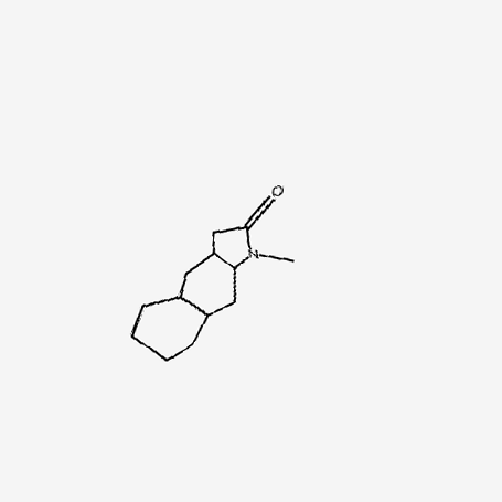 CN1C(=O)CC2CC3CCCCC3CC21